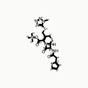 Cn1nnnc1SCC1=C(C(=O)O[Si](C)(C)C)N2C(=O)[C@@H](NC(=O)Cc3cccs3)[C@@H]2SC1